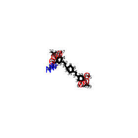 COc1cc(/C=C/c2ccc(/C=C/c3cc(OC)c(OC(C)C)c(C(=O)N=[N+]=[N-])c3)cc2)cc(OC)c1OC(C)C